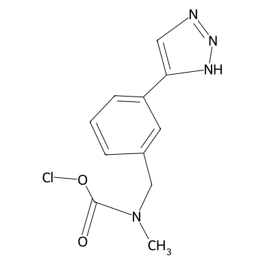 CN(Cc1cccc(-c2cnn[nH]2)c1)C(=O)OCl